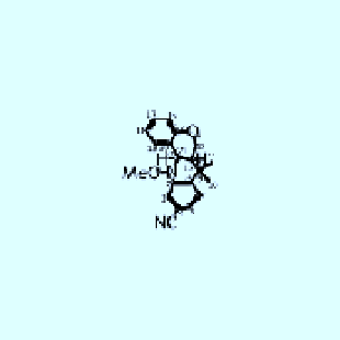 CON1c2cc(C#N)ccc2C(C)(C)[C@H]2COc3ccccc3[C@H]21